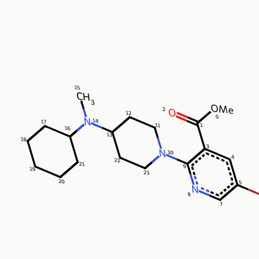 COC(=O)c1cc(Br)cnc1N1CCC(N(C)C2CCCCC2)CC1